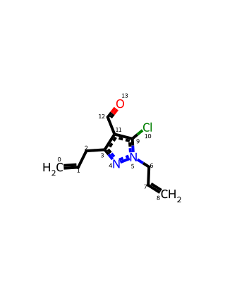 C=CCc1nn(CC=C)c(Cl)c1[C]=O